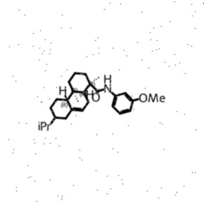 COc1cccc(NC(=O)[C@]2(C)CCC[C@@]3(C)[C@H]2CC=C2CC(C(C)C)CC[C@@H]23)c1